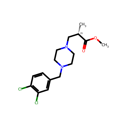 COC(=O)[C@@H](C)CN1CCN(Cc2ccc(Cl)c(Cl)c2)CC1